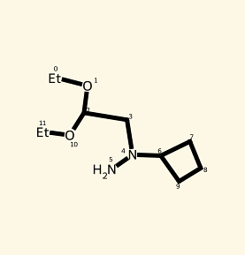 CCOC(CN(N)C1CCC1)OCC